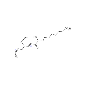 CC/C=C\CC(/C=C/C(=O)C(O)CCCCCCCC(=O)O)OO